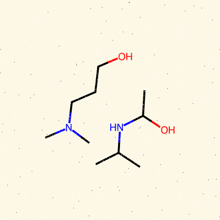 CC(C)NC(C)O.CN(C)CCCO